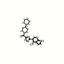 O=C(c1nc(-c2cnc3[nH]ccc3c2Cl)no1)N1CCC(N2CCCCC2)CC1